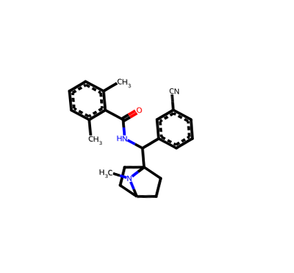 Cc1cccc(C)c1C(=O)NC(c1cccc(C#N)c1)C12CCC(CC1)N2C